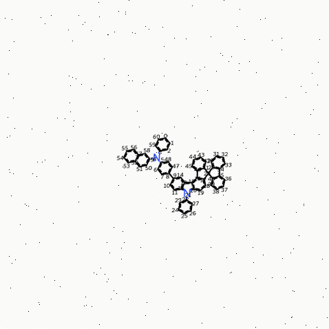 c1ccc(N(c2ccc(-c3ccc4c(c3)c3c5c(ccc3n4-c3ccccc3)C3(c4ccccc4-c4ccccc43)c3ccccc3-5)cc2)c2ccc3ccccc3c2)cc1